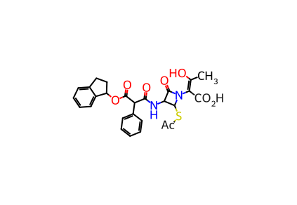 CC(=O)SC1C(NC(=O)C(C(=O)OC2CCc3ccccc32)c2ccccc2)C(=O)N1C(C(=O)O)=C(C)O